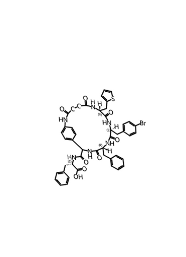 O=C1CCC(=O)N[C@H](Cc2cccs2)C(=O)N[C@@H](Cc2ccc(Br)cc2)C(=O)N[C@H](Cc2ccccc2)C(=O)NC(C(=O)N[C@@H](Cc2ccccc2)C(=O)O)c2ccc(cc2)N1